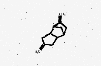 C=C1CC2C3CC(=C)C(C3)C2C1